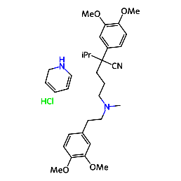 C1=CCNC=C1.COc1ccc(CCN(C)CCCC(C#N)(c2ccc(OC)c(OC)c2)C(C)C)cc1OC.Cl